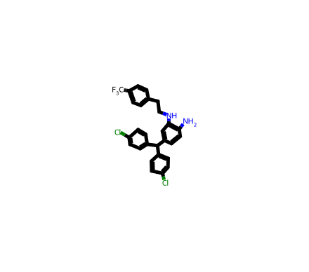 Nc1ccc(C(c2ccc(Cl)cc2)c2ccc(Cl)cc2)cc1NCCc1ccc(C(F)(F)F)cc1